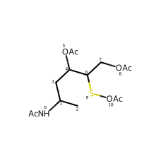 CC(=O)NC(C)CC(OC(C)=O)C(COC(C)=O)SOC(C)=O